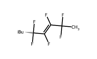 CC[C@@H](C)C(F)(F)/C(F)=C(\F)C(C)(F)F